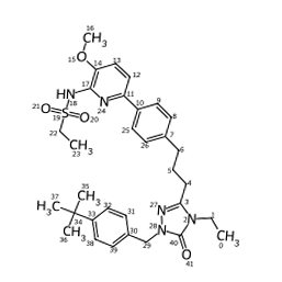 CCn1c(CCCc2ccc(-c3ccc(OC)c(NS(=O)(=O)CC)n3)cc2)nn(Cc2ccc(C(C)(C)C)cc2)c1=O